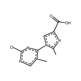 Cc1cnc(Cl)nc1-n1cc(C(=O)O)nc1C